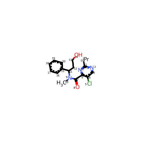 CC(C)c1ncc(Cl)c(C(=O)N(C)C(CCO)c2ccccc2)n1